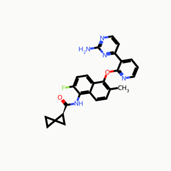 Cc1ccc2c(NC(=O)[C@H]3CC34CC4)c(F)ccc2c1Oc1ncccc1-c1ccnc(N)n1